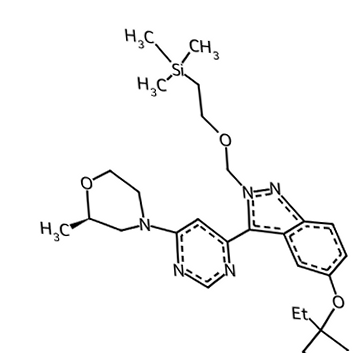 CCC1(Oc2ccc3nn(COCC[Si](C)(C)C)c(-c4cc(N5CCO[C@H](C)C5)ncn4)c3c2)COC1